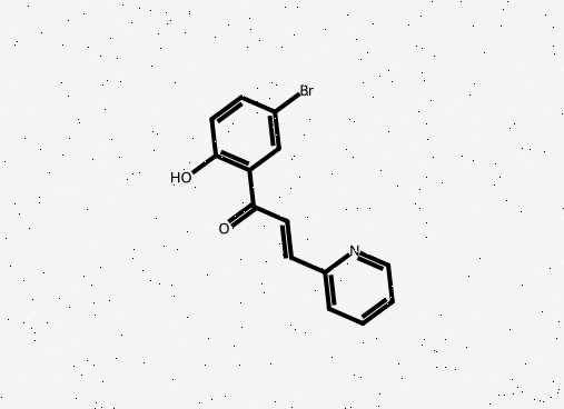 O=C(C=Cc1ccccn1)c1cc(Br)ccc1O